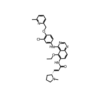 CCOc1c(NC(=O)/C=C/[C@H]2CCCN2C)ccc2ncnc(Nc3ccc(OCc4cccc(C)n4)c(Cl)c3)c12